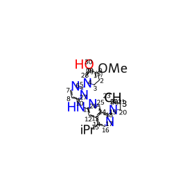 CO[C@H]1CCN(c2nccc(Nc3cc4c(C(C)C)cnc(N5CC[C@H]5C)c4cn3)n2)C[C@H]1O